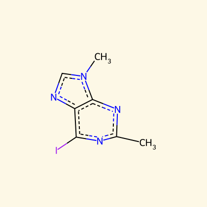 Cc1nc(I)c2ncn(C)c2n1